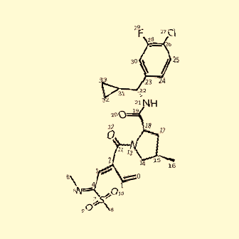 C=C/C(=C\C(=N/C)S(C)(=O)=O)C(=O)N1C[C@H](C)C[C@@H]1C(=O)N[C@@H](c1ccc(Cl)c(F)c1)C1CC1